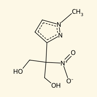 Cn1ccc(C(CO)(CO)[N+](=O)[O-])n1